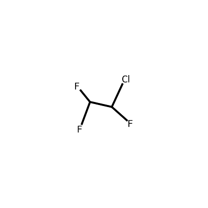 FC(F)C(F)Cl